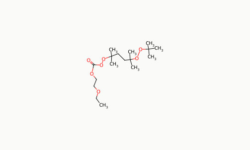 CCOCCOC(=O)OOC(C)(C)CCC(C)(C)OOC(C)(C)C